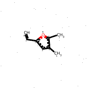 [CH]=Cc1cc(C)c(C)o1